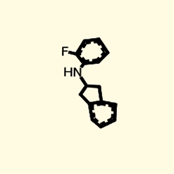 Fc1ccccc1NC1Cc2ccccc2C1